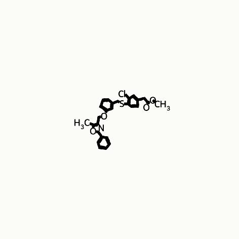 COC(=O)Cc1ccc(SCc2cccc(OCc3nc(-c4ccccc4)oc3C)c2)c(Cl)c1